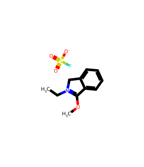 CC[N+]1=C(OC)c2ccccc2C1.O=S(=O)([O-])F